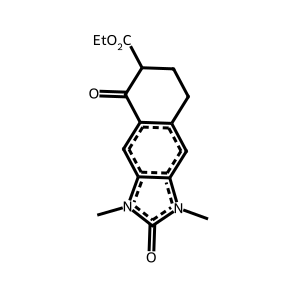 CCOC(=O)C1CCc2cc3c(cc2C1=O)n(C)c(=O)n3C